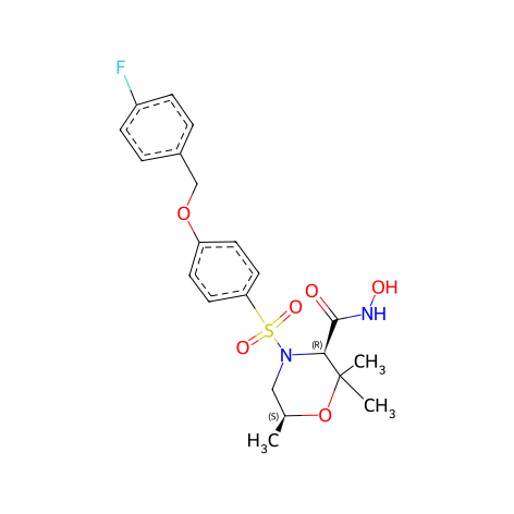 C[C@H]1CN(S(=O)(=O)c2ccc(OCc3ccc(F)cc3)cc2)[C@@H](C(=O)NO)C(C)(C)O1